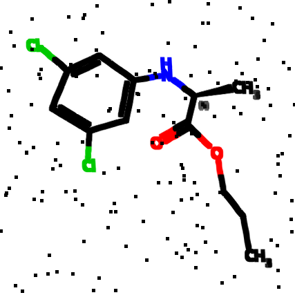 CCCOC(=O)[C@H](C)Nc1cc(Cl)cc(Cl)c1